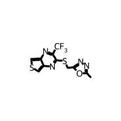 Cc1nnc(CSc2nc3cscc3nc2C(F)(F)F)o1